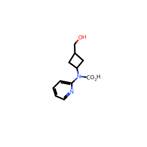 O=C(O)N(c1ccccn1)C1CC(CO)C1